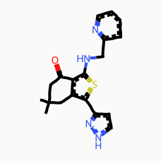 CC1(C)CC(=O)c2c(NCc3ccccn3)sc(-c3cc[nH]n3)c2C1